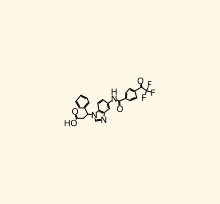 O=C(O)CC(c1ccccc1)n1cnc2cc(NC(=O)c3ccc(C(=O)C(F)(F)F)cc3)ccc21